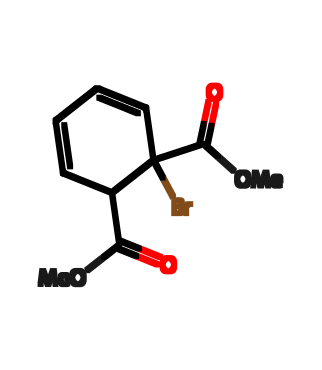 COC(=O)C1C=CC=CC1(Br)C(=O)OC